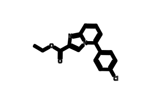 CCOC(=O)c1cn2c(-c3ccc(Cl)cc3)cccc2n1